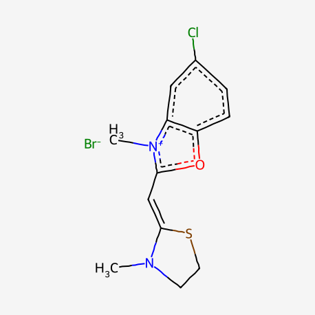 CN1CCS/C1=C\c1oc2ccc(Cl)cc2[n+]1C.[Br-]